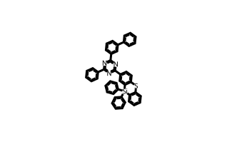 c1ccc(-c2cccc(-c3nc(-c4ccccc4)nc(-c4ccc5c(c4)[Si](c4ccccc4)(c4ccccc4)c4ccccc4S5)n3)c2)cc1